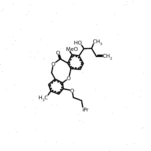 C=CC(C)C(O)c1ccc2c(c1OC)C(=O)OCc1cc(C)cc(OCCC(C)C)c1O2